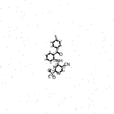 Cc1ccc(C(=O)c2ccccc2Nc2nc(S(C)(=O)=O)ncc2C#N)cc1